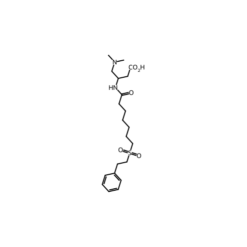 CN(C)CC(CC(=O)O)NC(=O)CCCCCCS(=O)(=O)CCc1ccccc1